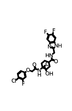 O=C(COc1ccc(Cl)c(F)c1)NC12CCC(C(=O)NCc3nc4cc(F)c(F)cc4[nH]3)(CC1)CC2O